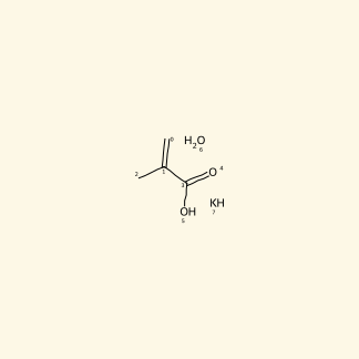 C=C(C)C(=O)O.O.[KH]